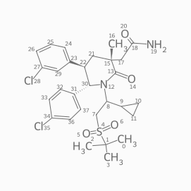 CC(C)(C)S(=O)(=O)CC(C1CC1)N1C(=O)[C@@](C)(CC(N)=O)C[C@H](c2cccc(Cl)c2)[C@H]1c1ccc(Cl)cc1